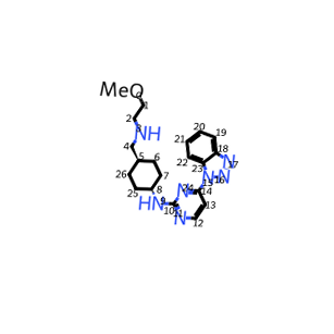 COCCNC[C@H]1CC[C@H](Nc2nccc(-n3nnc4ccccc43)n2)CC1